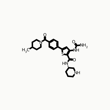 CC1CCN(C(=O)c2ccc(-c3cc(NC(N)=O)c(C(=O)N[C@H]4CCCNC4)s3)cc2)CC1